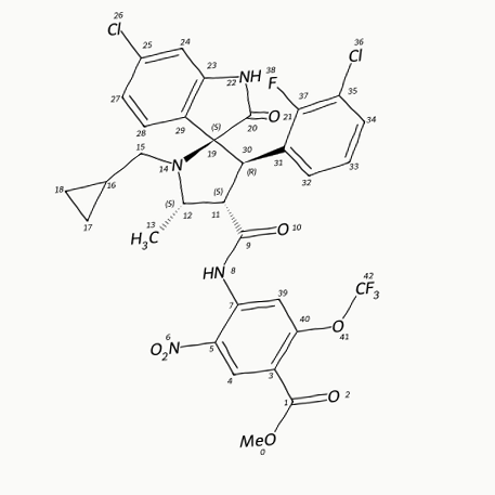 COC(=O)c1cc([N+](=O)[O-])c(NC(=O)[C@@H]2[C@H](C)N(CC3CC3)[C@@]3(C(=O)Nc4cc(Cl)ccc43)[C@H]2c2cccc(Cl)c2F)cc1OC(F)(F)F